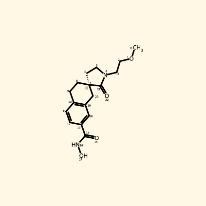 COCCN1CC[C@]2(CCc3ccc(C(=O)NO)cc3C2)C1=O